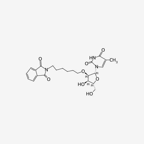 Cc1cn([C@@H]2O[C@H](CO)[C@@H](O)[C@H]2OCCCCCCN2C(=O)c3ccccc3C2=O)c(=O)[nH]c1=O